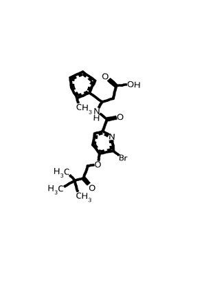 Cc1ccccc1C(CC(=O)O)NC(=O)c1ccc(OCC(=O)C(C)(C)C)c(Br)n1